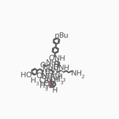 CCCCc1ccc(-c2ccc(C(=O)NCCC(=O)N[C@@H](CCCCN)C(=O)N[C@H](C(=O)N[C@@H](N)C(=O)NC(Cc3ccc(O)cc3)C(=O)N[C@@H](C)B3OC4C[C@@H]5C[C@@H](C5(C)C)[C@]4(C)O3)[C@@H](C)O)cc2)cc1